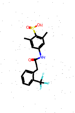 Cc1cc(NC(=O)Cc2ccccc2C(F)(F)F)cc(C)c1S(=O)O